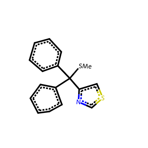 CSC(c1ccccc1)(c1ccccc1)c1cscn1